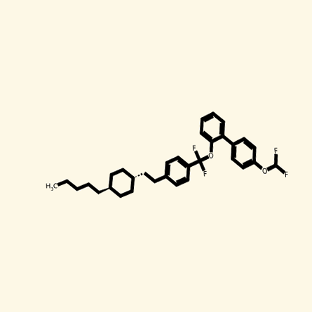 CCCCC[C@H]1CC[C@H](CCc2ccc(C(F)(F)Oc3ccccc3-c3ccc(OC(F)F)cc3)cc2)CC1